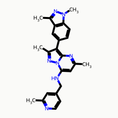 Cc1cc(CNc2cc(C)nc3c(-c4ccc5c(c4)c(C)nn5C)c(C)nn23)ccn1